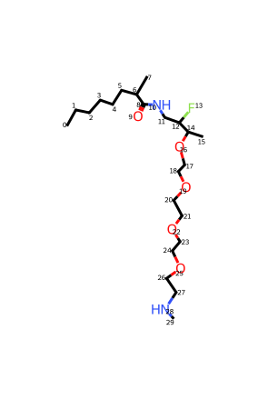 CCCCCCC(C)C(=O)NCC(F)C(C)OCCOCCOCCOCCNC